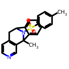 Cc1ccc(S(=O)(=O)N2C3Cc4ccncc4C2(C)c2ccccc23)cc1